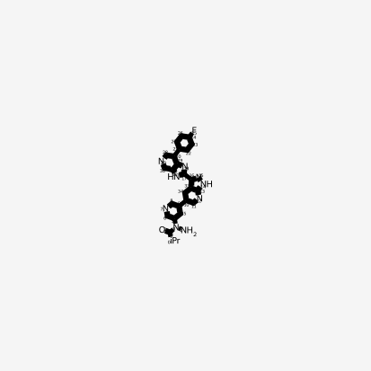 CC(C)C(=O)N(N)c1cncc(-c2cnc3[nH]nc(-c4nc5c(-c6ccc(F)cc6)cncc5[nH]4)c3c2)c1